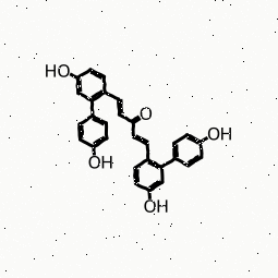 O=C(/C=C/c1ccc(O)cc1-c1ccc(O)cc1)/C=C/c1ccc(O)cc1-c1ccc(O)cc1